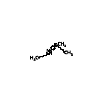 CCCCCCc1cnc(-c2ccc(OC(C)CCCCCC)cc2)nc1